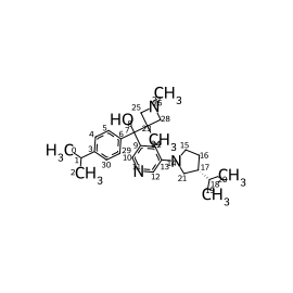 CC(C)c1ccc(C(O)(c2cncc(N3CC[C@H](C(C)C)C3)c2)C2(C)CN(C)C2)cc1